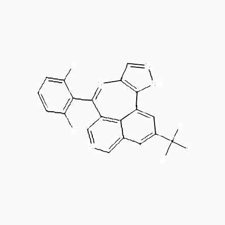 Fc1cccc(F)c1C1=Nc2cn[nH]c2-c2cc(C(F)(F)F)cc3cncc1c23